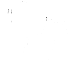 CC1CC=C2CNCCn3ccc1c32